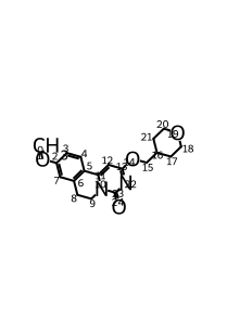 COc1ccc2c(c1)CCn1c-2cc(OCC2CCOCC2)nc1=O